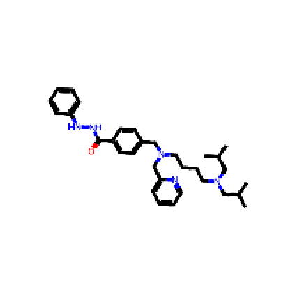 CC(C)CN(CCCCN(Cc1ccc(C(=O)NNc2ccccc2)cc1)Cc1ccccn1)CC(C)C